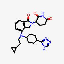 O=C1CCC(N2Cc3c(cccc3N(CCC3CC3)C3CCC(c4nnc[nH]4)CC3)C2=O)C(=O)N1